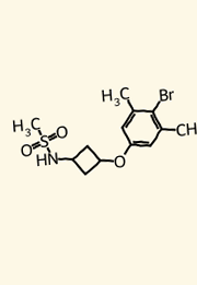 Cc1cc(OC2CC(NS(C)(=O)=O)C2)cc(C)c1Br